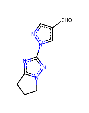 O=Cc1cnn(-c2nc3n(n2)CCC3)c1